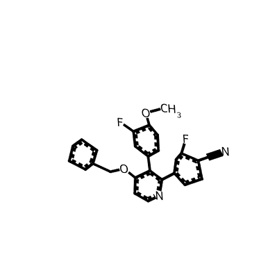 COc1ccc(-c2c(OCc3ccccc3)ccnc2-c2ccc(C#N)c(F)c2)cc1F